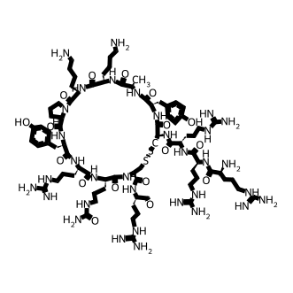 C[C@@H]1NC(=O)[C@H](Cc2ccc(O)cc2)NC(=O)[C@@H](NC(=O)[C@H](CCCNC(=N)N)NC(=O)[C@H](CCCNC(=N)N)NC(=O)[C@@H](N)CCCNC(=N)N)CSSC[C@@H](C(=O)N[C@H](C=O)CCCNC(=N)N)NC(=O)[C@H](CCCNC(N)=O)NC(=O)[C@H](CCCNC(=N)N)NC(=O)[C@H](Cc2ccc(O)cc2)NC(=O)[C@@H]2CCCN2C(=O)[C@@H](CCCCN)NC(=O)[C@H](CCCCN)NC1=O